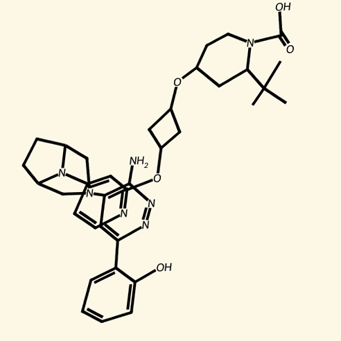 CC(C)(C)C1CC(OC2CC(Oc3cc(N4C5CCC4CN(c4cc(-c6ccccc6O)nnc4N)C5)ccn3)C2)CCN1C(=O)O